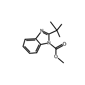 COC(=O)n1c(C(C)(C)C)nc2ccccc21